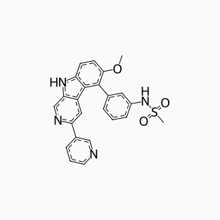 COc1ccc2[nH]c3cnc(-c4cccnc4)cc3c2c1-c1cccc(NS(C)(=O)=O)c1